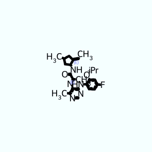 C/C=C1\CC(C)CC1NC(=O)/C(C)=N/c1c(C)ncnc1Nc1ccc(F)cc1OC(C)C